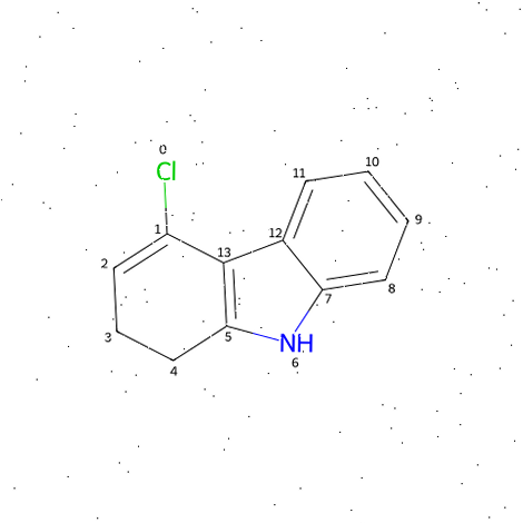 ClC1=CCCc2[nH]c3ccccc3c21